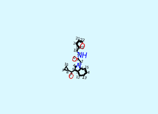 O=C(Cn1cc(C(=O)C2CC2)c2ccccc21)NCc1ccco1